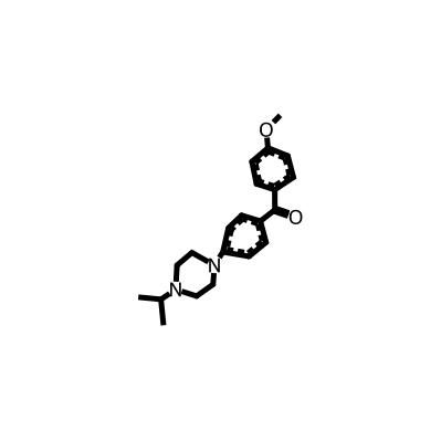 COc1ccc(C(=O)c2ccc(N3CCN(C(C)C)CC3)cc2)cc1